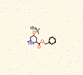 CC1CC(O[Si](C)(C)C(C)(C)C)CC(C(=O)OCc2ccccc2)N1